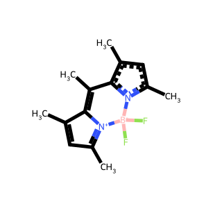 CC1=CC(C)=[N+]2C1=C(C)c1c(C)cc(C)n1[B-]2(F)F